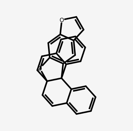 C1=CC23C=Cc4ccccc4C2(c2ccccc21)c1cc2ccoc2cc1O3